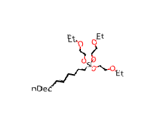 CCCCCCCCCCCCCCCC[Si](OCCOCC)(OCCOCC)OCCOCC